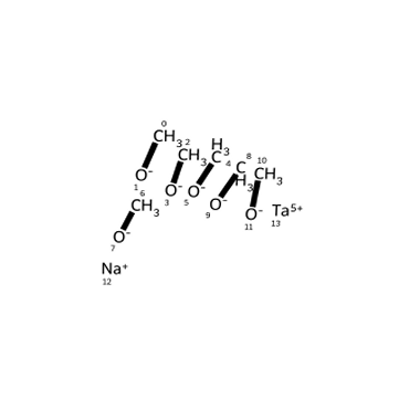 C[O-].C[O-].C[O-].C[O-].C[O-].C[O-].[Na+].[Ta+5]